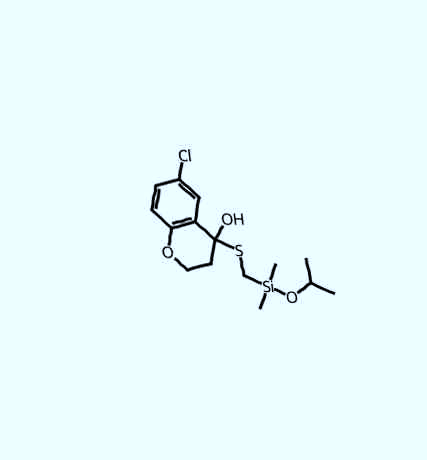 CC(C)O[Si](C)(C)CSC1(O)CCOc2ccc(Cl)cc21